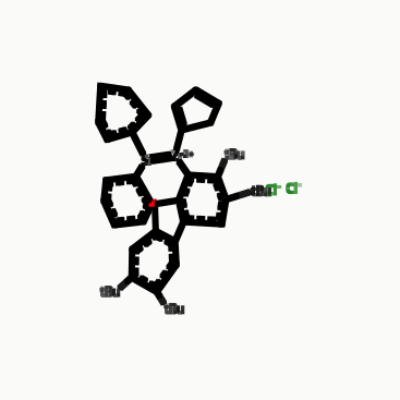 CC(C)(C)c1cc2c(cc1C(C)(C)C)-c1cc(C(C)(C)C)c(C(C)(C)C)[c]([Zr+2]([C]3=CC=CC3)=[Si](c3ccccc3)c3ccccc3)c1C2.[Cl-].[Cl-]